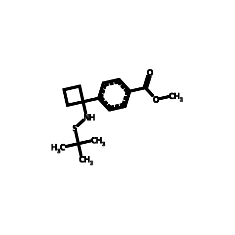 COC(=O)c1ccc(C2(NSC(C)(C)C)CCC2)cc1